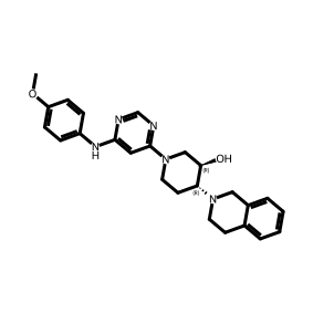 COc1ccc(Nc2cc(N3CC[C@@H](N4CCc5ccccc5C4)[C@H](O)C3)ncn2)cc1